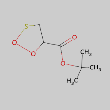 CC(C)(C)OC(=O)C1CSOO1